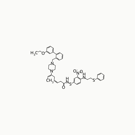 C/C=C(\C/C=C\CC(=O)NSc1ccc(NCCSc2ccccc2)c([N+](=O)[O-])c1)N1CCN(Cc2ccccc2-c2cccc(OCC)c2)CC1